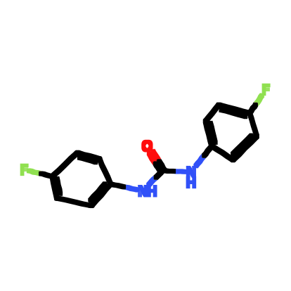 O=C(Nc1ccc(F)cc1)Nc1ccc(F)cc1